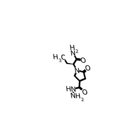 CC[C@@H](C(N)=O)N1CC(C(=O)NN)CC1=O